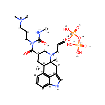 C=CCN1C[C@H](C(=O)N(CCCN(C)C)C(=O)NCC)C[C@@H]2c3cccc4[nH]cc(c34)C[C@H]21.O=P(O)(O)OP(=O)(O)O